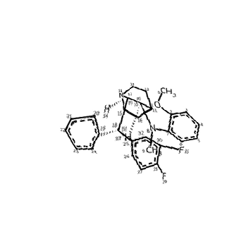 COc1ccccc1N(C)[C@@H]1C2CCN(CC2)[C@@H]1[C@@H](c1ccccc1)c1ccc(F)c(F)c1